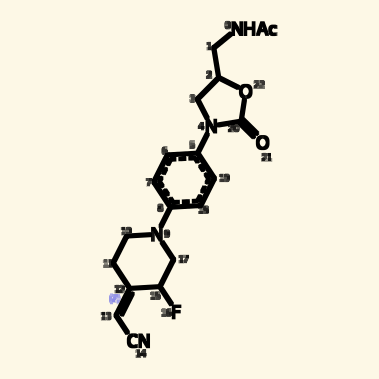 CC(=O)NCC1CN(c2ccc(N3CC/C(=C/C#N)C(F)C3)cc2)C(=O)O1